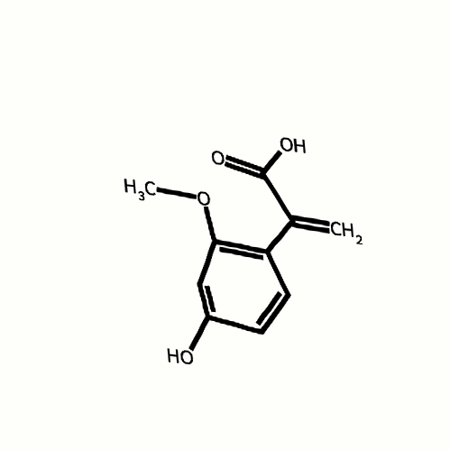 C=C(C(=O)O)c1ccc(O)cc1OC